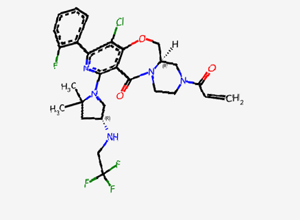 C=CC(=O)N1CCN2C(=O)c3c(N4C[C@H](NCC(F)(F)F)CC4(C)C)nc(-c4ccccc4F)c(Cl)c3OC[C@H]2C1